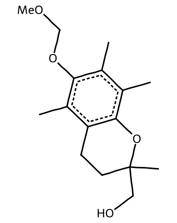 COCOc1c(C)c(C)c2c(c1C)CCC(C)(CO)O2